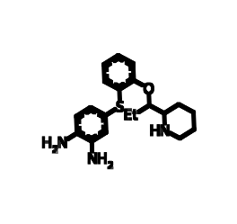 CCC(Oc1ccccc1Sc1ccc(N)c(N)c1)C1CCCCN1